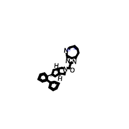 O=C(C1=NC2C/C=C\C=N/C(=N1)C2)N1C[C@H]2C[C@@H](c3ccccc3-c3ccccc3)C[C@H]2C1